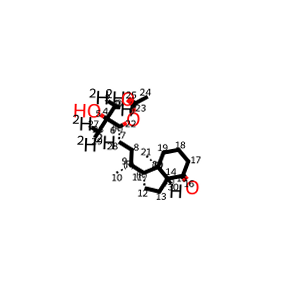 [2H]C([2H])([2H])C(O)([C@@H](CC[C@@H](C)[C@H]1CC[C@H]2C(=O)CCC[C@]12C)OC(C)=O)C([2H])([2H])[2H]